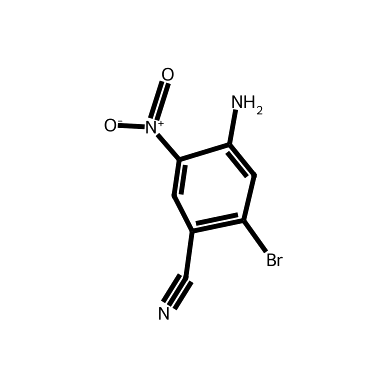 N#Cc1cc([N+](=O)[O-])c(N)cc1Br